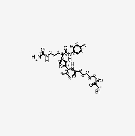 [CH2]c1ccc(NC(=O)[C@H](CCCNC(N)=O)n2cc([C@@H](NC(=O)CCCCCN(C)C(=O)CBr)C(C)C)nn2)cc1